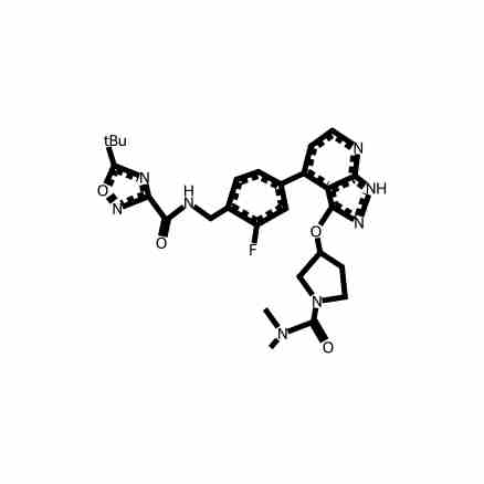 CN(C)C(=O)N1CCC(Oc2n[nH]c3nccc(-c4ccc(CNC(=O)c5noc(C(C)(C)C)n5)c(F)c4)c23)C1